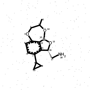 CC1COc2ccc(C3CC3)c3c2B(O1)O[C@@H]3CN